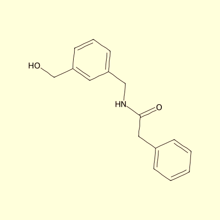 O=C(Cc1ccccc1)NCc1cccc(CO)c1